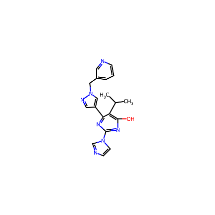 CC(C)c1c(O)nc(-n2ccnc2)nc1-c1cnn(Cc2cccnc2)c1